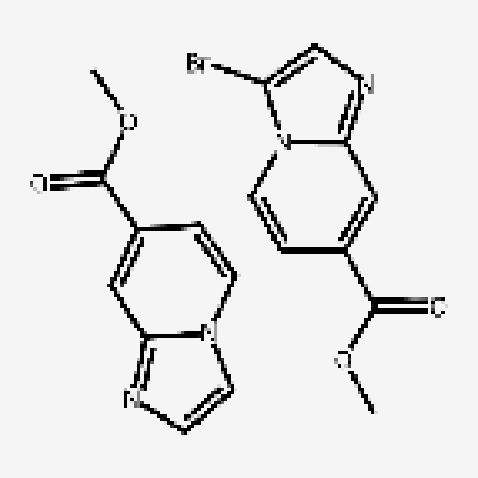 COC(=O)c1ccn2c(Br)cnc2c1.COC(=O)c1ccn2ccnc2c1